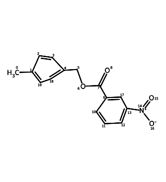 Cc1ccc(COC(=O)c2cccc([N+](=O)[O-])c2)cc1